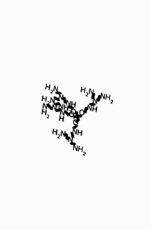 NCCN(CCN)CCNCCOCC(COCCNCCN(CCN)CCN)(COCCNCCN(CCN)CCN)COCCNCCN(CCN)CCN